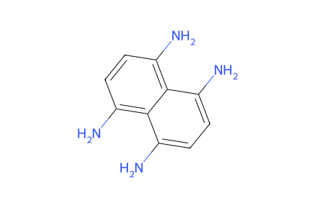 Nc1ccc(N)c2c(N)ccc(N)c12